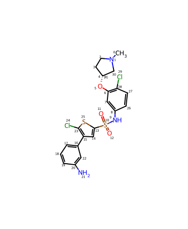 CN1CC[C@@H](Oc2cc(NS(=O)(=O)c3cc(-c4cccc(N)c4)c(Cl)s3)ccc2Cl)C1